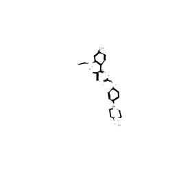 CCCN1Sc2cnc(Nc3ccc(N4CCN(C)CC4)cc3)nc2-c2ccc(Br)cc21